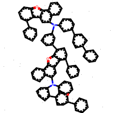 c1ccc(-c2ccc(-c3cccc(N(c4cccc(-c5ccc(-c6ccccc6)c6c5oc5c7ccccc7c(N(c7ccccc7)c7ccccc7-c7ccc(-c8ccccc8)cc7)cc56)c4)c4cc5c(oc6cccc(-c7ccccc7)c65)c5ccccc45)c3)cc2)cc1